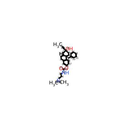 CC#C[C@@]1(O)CC[C@]2(Cc3ccccc3)c3ccc(OC(=O)NCCCN(C)C)cc3CC[C@H]2C1